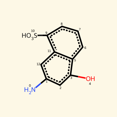 Nc1cc(O)c2cccc(S(=O)(=O)O)c2c1